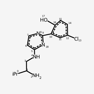 CC(C)C(N)CNc1ccnc(-c2cc(Cl)ccc2O)n1